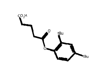 CC(C)(C)c1ccc(OC(=O)CCCC(=O)O)c(C(C)(C)C)c1